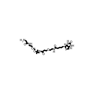 CC(C)(CNC(=O)CCOCCNC(=O)CCCC[C@@H]1SC[C@@H]2NC(=O)N[C@@H]21)OSOCCNC(=O)CN